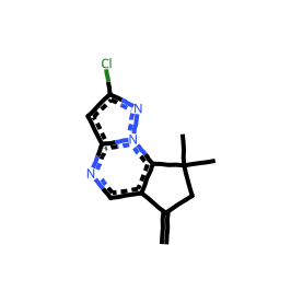 C=C1CC(C)(C)c2c1cnc1cc(Cl)nn21